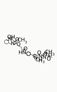 COc1c(OCCCC(=O)Nc2ccc(-c3cc(C(=O)Nc4cn(C)c(C(=O)[O-])n4)n(C)c3)cc2)cn2c1C=[N+](O)C1=CCCCC1C2